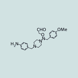 COc1ccc(CN(OCC=O)N2CCN(Cc3ccc(N)cc3)CC2)cc1